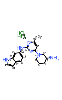 CCCc1cc(N2CCCC(N)C2)nc(Nc2ccc3cc[nH]c3c2)n1.Cl.Cl